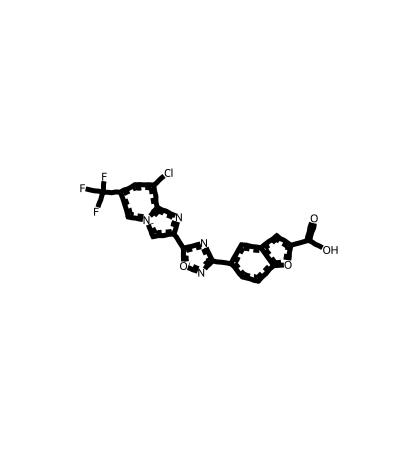 O=C(O)c1cc2cc(-c3noc(-c4cn5cc(C(F)(F)F)cc(Cl)c5n4)n3)ccc2o1